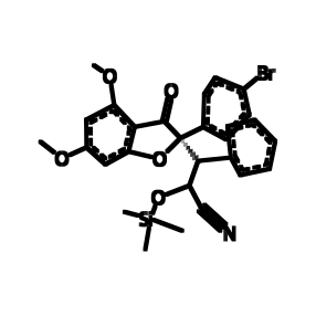 COc1cc(OC)c2c(c1)O[C@@](c1ccc(Br)cc1)(C(c1ccccc1)C(C#N)O[Si](C)(C)C)C2=O